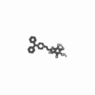 Cn1c(=O)c2[nH]c(CCN3CCN(C(c4ccccc4)c4ccccc4)CC3)nc2n(C)c1=O